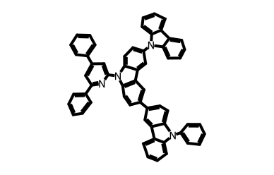 c1ccc(-c2cc(-c3ccccc3)nc(-n3c4ccc(-c5ccc6c(c5)c5ccccc5n6-c5ccccc5)cc4c4cc(-n5c6ccccc6c6ccccc65)ccc43)c2)cc1